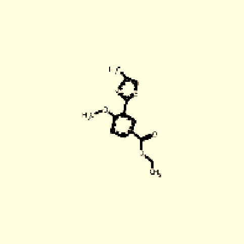 CCOC(=O)c1ccc(OC)c(-c2nc(C)cs2)c1